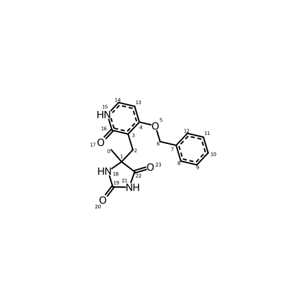 CC1(Cc2c(OCc3ccccc3)cc[nH]c2=O)NC(=O)NC1=O